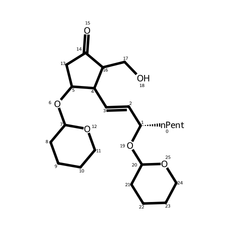 CCCCC[C@@H](C=CC1C(OC2CCCCO2)CC(=O)C1CO)OC1CCCCO1